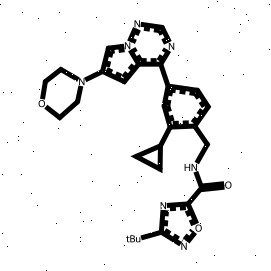 CC(C)(C)c1noc(C(=O)NCc2ccc(-c3ncnn4cc(N5CCOCC5)cc34)cc2C2CC2)n1